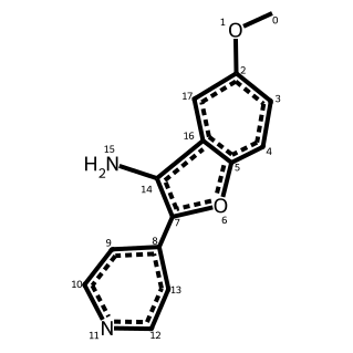 COc1ccc2oc(-c3ccncc3)c(N)c2c1